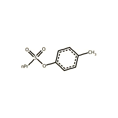 CCCS(=O)(=O)Oc1ccc(C)cc1